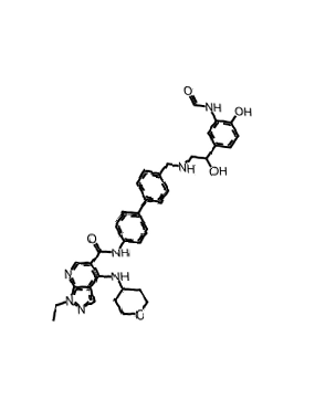 CCn1ncc2c(NC3CCOCC3)c(C(=O)Nc3ccc(-c4ccc(CNCC(O)c5ccc(O)c(NC=O)c5)cc4)cc3)cnc21